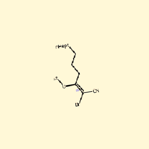 CCCCCCCCCC/C(OCC)=C(/Br)C#N